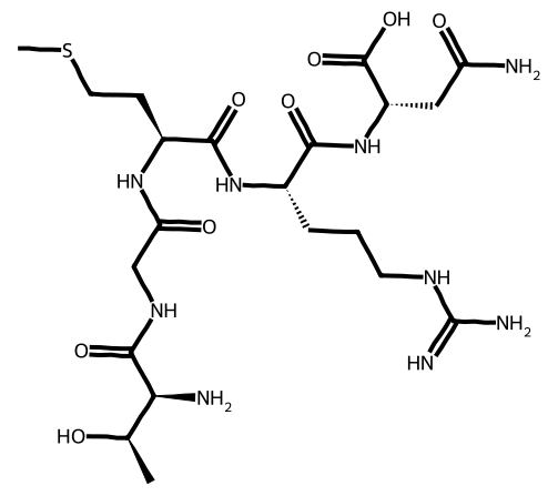 CSCC[C@H](NC(=O)CNC(=O)[C@@H](N)[C@@H](C)O)C(=O)N[C@@H](CCCNC(=N)N)C(=O)N[C@@H](CC(N)=O)C(=O)O